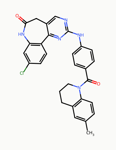 Cc1ccc2c(c1)CCCN2C(=O)c1ccc(Nc2ncc3c(n2)-c2ccc(Cl)cc2NC(=O)C3)cc1